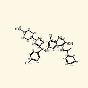 CC(Nc1c(C#N)cnc2c(Cl)cc(NC(c3ccc(Cl)cc3)c3cn(C4CCN(C(C)(C)C)CC4)nn3)cc12)c1ccccc1